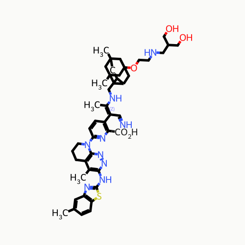 C/C(NCC1CC2(C)CC3(C)CC1CC(OCCNCC(CO)CO)(C2)C3)=C(/C=N)c1ccc(N2CCCc3c2nnc(Nc2nc4cc(C)ccc4s2)c3C)nc1C(=O)O